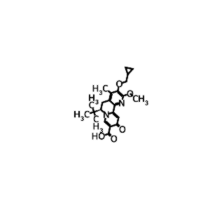 COc1nc2c(c(C)c1OCC1CC1)C[C@H](C(C)(C)C)n1cc(C(=O)O)c(=O)cc1-2